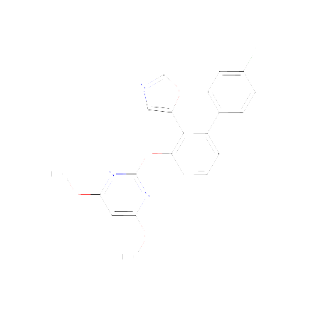 COc1cc(OC)nc(Oc2cccc(-c3ccc(Cl)cc3)c2-c2cnco2)n1